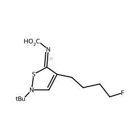 CC(C)(C)n1cc(CCCCF)/c(=N/C(=O)O)s1